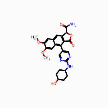 COc1cc2cc3c(c(-c4cnc(NC5CCC(O)CC5)nc4)c2cc1OC)C(=O)OC3C(N)=O